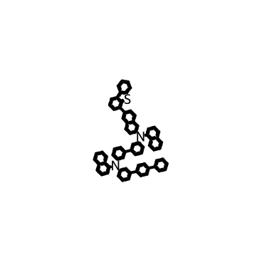 c1ccc(-c2ccc(-c3cccc(N(c4cccc(-c5cccc(N(c6ccc7cc(-c8cccc9c8sc8ccccc89)ccc7c6)c6cccc7ccccc67)c5)c4)c4cccc5ccccc45)c3)cc2)cc1